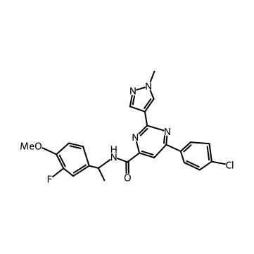 COc1ccc(C(C)NC(=O)c2cc(-c3ccc(Cl)cc3)nc(-c3cnn(C)c3)n2)cc1F